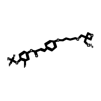 CCC1(COCCCCOc2ccc(/C=C/C(=O)Oc3ccc(OC(F)(F)F)c(F)c3)cc2)COC1